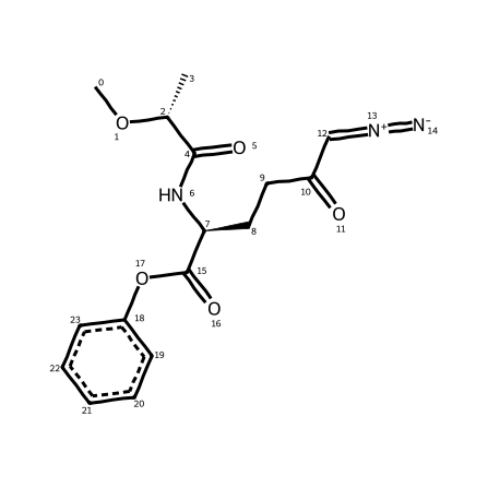 CO[C@H](C)C(=O)N[C@@H](CCC(=O)C=[N+]=[N-])C(=O)Oc1ccccc1